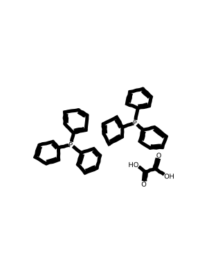 O=C(O)C(=O)O.c1ccc(P(c2ccccc2)c2ccccc2)cc1.c1ccc(P(c2ccccc2)c2ccccc2)cc1